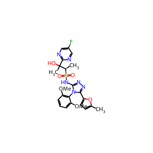 COc1cccc(OC)c1-n1c(NS(=O)(=O)[C@H](C)C(C)(O)c2ncc(F)cn2)nnc1-c1ccc(C)o1